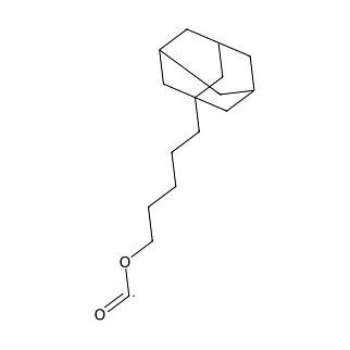 O=[C]OCCCCCC12CC3CC(CC(C3)C1)C2